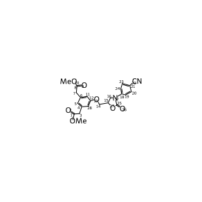 COC(=O)Cc1cc(CC(=O)OC)cc(OCC2CN(c3ccc(C#N)cc3)C(=O)O2)c1